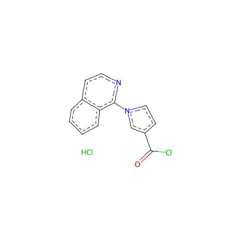 Cl.O=C(Cl)c1ccn(-c2nccc3ccccc23)c1